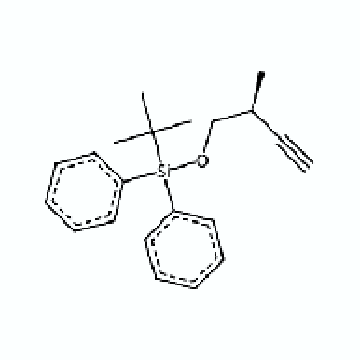 C#C[C@H](C)CO[Si](c1ccccc1)(c1ccccc1)C(C)(C)C